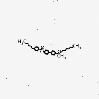 CCCCCCCCOC(C)c1ccc(-c2ccc(OC(=O)c3ccc(CCCCCC)cc3)cc2)cc1